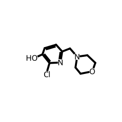 Oc1ccc(CN2CCOCC2)nc1Cl